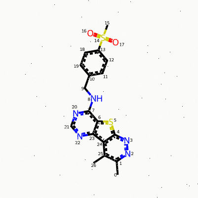 Cc1nnc2sc3c(NCc4ccc(S(C)(=O)=O)cc4)ncnc3c2c1C